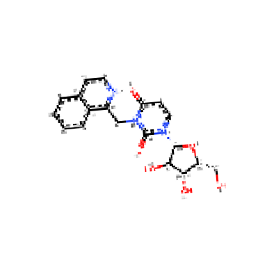 O=c1ccn([C@@H]2O[C@H](CO)[C@H](O)C2O)c(=O)n1Cc1nccc2ccccc12